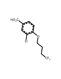 O=C(O)c1ccc(OCCCC(F)(F)F)c(Cl)c1